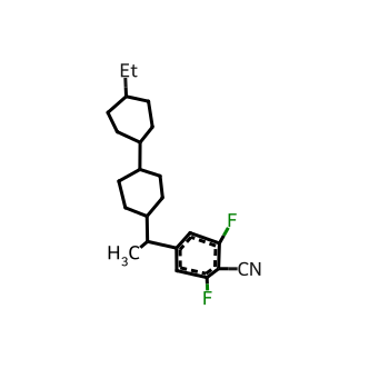 CCC1CCC(C2CCC(C(C)c3cc(F)c(C#N)c(F)c3)CC2)CC1